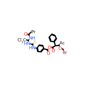 CC(=O)C(OCBr)C(C(=O)OC(=O)c1ccc(NC(=S)NC(NC(=O)C(C)C)C(Cl)(Cl)Cl)cc1)c1ccccc1